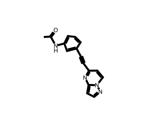 CC(=O)Nc1cccc(C#Cc2ccn3nccc3n2)c1